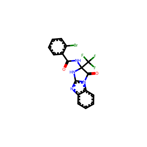 O=C(NC1(C(F)(F)F)Nc2nc3ccccc3n2C1=O)c1ccccc1Br